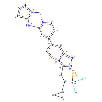 Cn1nccc1Nc1cc(-c2ccn3c(CC(C4CC4)C(F)(F)P)nnc3c2)ccn1